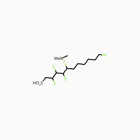 CNC.O=S(=O)(O)CC(F)C(F)C(F)C(F)CCCCCCF